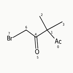 CC(=O)C(C)(C)C(=O)CBr